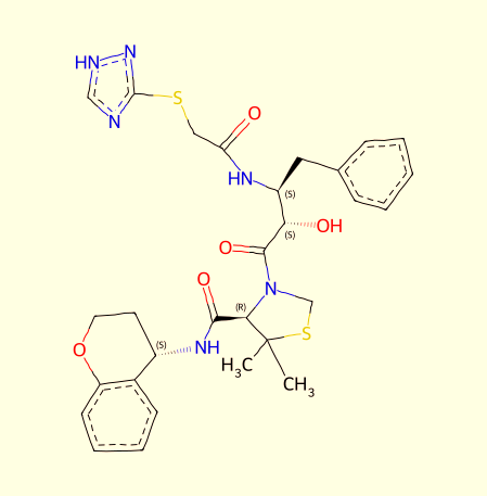 CC1(C)SCN(C(=O)[C@@H](O)[C@H](Cc2ccccc2)NC(=O)CSc2nc[nH]n2)[C@@H]1C(=O)N[C@H]1CCOc2ccccc21